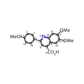 COc1ccc(-c2cc(C(=O)O)c3cc(OC)c(OC)cc3n2)cc1